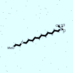 COCCOCCCCCCCCCCC[Si](Cl)(Cl)Cl